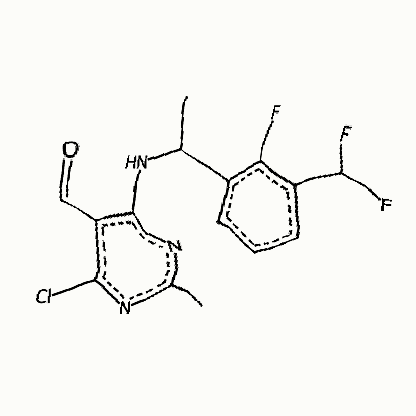 Cc1nc(Cl)c(C=O)c(NC(C)c2cccc(C(F)F)c2F)n1